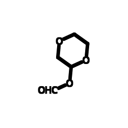 O=COC1COCCO1